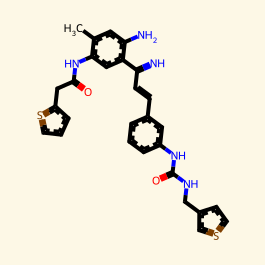 Cc1cc(N)c(C(=N)/C=C/c2cccc(NC(=O)NCc3ccsc3)c2)cc1NC(=O)Cc1cccs1